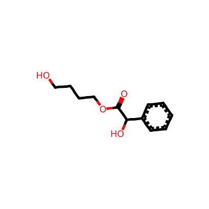 O=C(OCCCCO)C(O)c1ccccc1